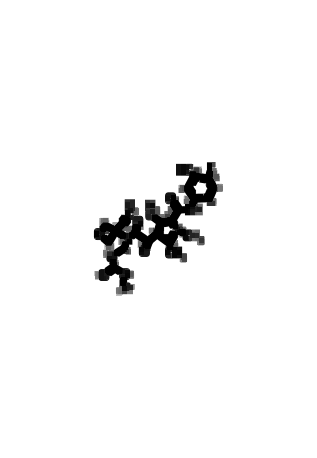 C#CC1(N(COC(=O)OC(C)C)C(=O)C(=O)c2c(C)c(C(=O)Nc3ccc(F)c(C#N)c3)n(C)c2C)COC1